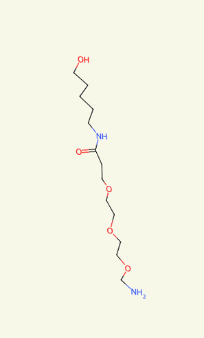 NCOCCOCCOCCC(=O)NCCCCCO